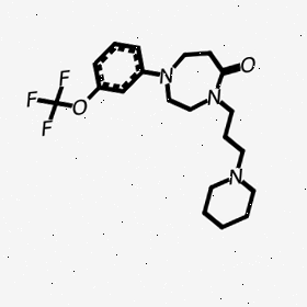 O=C1CCN(c2cccc(OC(F)(F)F)c2)CCN1CCCN1CCCCC1